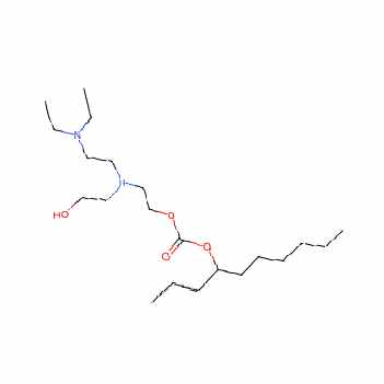 CCCCCCC(CCC)OC(=O)OCCN(CCO)CCN(CC)CC